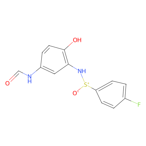 O=CNc1ccc(O)c(N[S+]([O-])c2ccc(F)cc2)c1